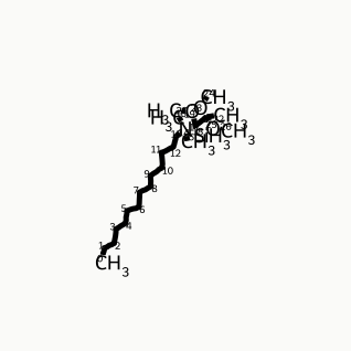 CCCCCCCCCCCCCC[N+](C)(C)C([SiH3])(OC)C(C)(OC)OC